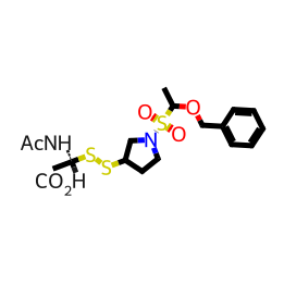 CC(=O)N[C@](C)(SSC1CCN(S(=O)(=O)C(C)OCc2ccccc2)C1)C(=O)O